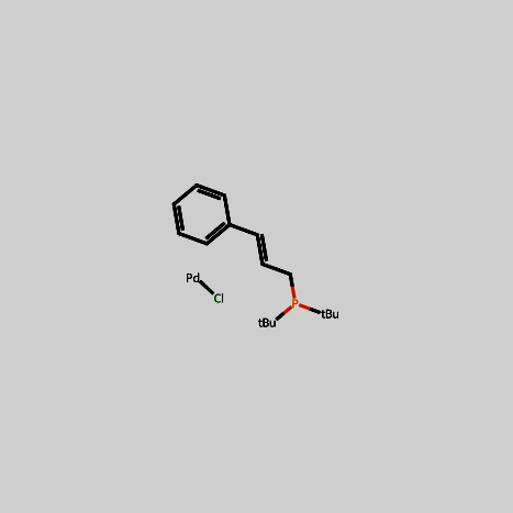 CC(C)(C)P(C/C=C/c1ccccc1)C(C)(C)C.[Cl][Pd]